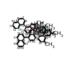 CC1=Cc2c(-c3cccc4ccccc34)cccc2[CH]1[Zr]([CH3])([CH3])(=[SiH2])([O]c1ccc(C)cc1C(C)(C)C)([O]c1ccc(C)cc1C(C)(C)C)[CH]1C(C)=Cc2c(-c3cccc4ccccc34)cccc21